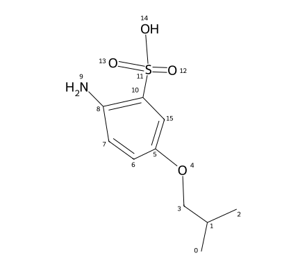 CC(C)COc1ccc(N)c(S(=O)(=O)O)c1